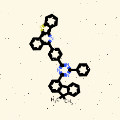 CC1(C)c2ccccc2-c2c(-c3nc(-c4ccccc4)nc(-c4ccc(-c5nc6c7ccccc7sc6c6ccccc56)cc4)n3)cccc21